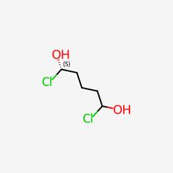 OC(Cl)CCC[C@@H](O)Cl